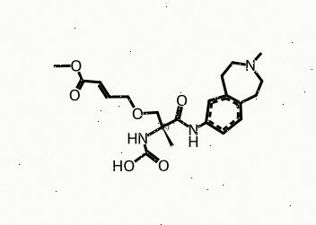 COC(=O)C=CCOC[C@@](C)(NC(=O)O)C(=O)Nc1ccc2c(c1)CCN(C)CC2